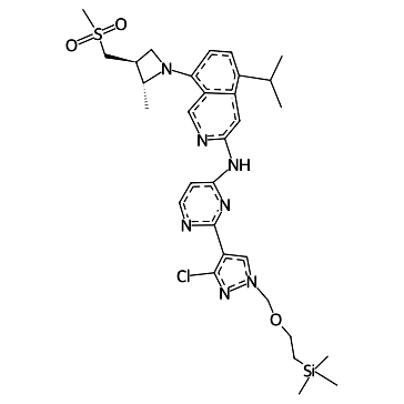 CC(C)c1ccc(N2C[C@H](CS(C)(=O)=O)[C@H]2C)c2cnc(Nc3ccnc(-c4cn(COCC[Si](C)(C)C)nc4Cl)n3)cc12